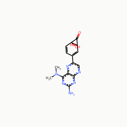 CN(C)c1nc(N)nc2ncc(C3=CC4(O)C(=O)C4(O)C=C3)nc12